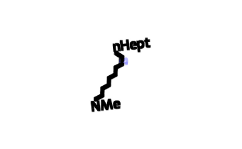 CCCCCCCC/C=C\CCCCCCCNC